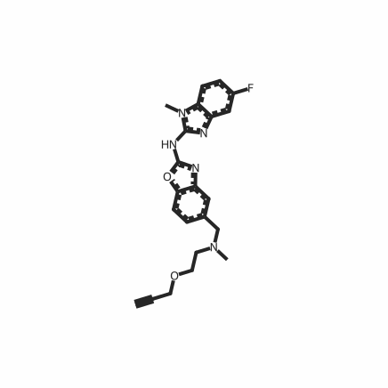 C#CCOCCN(C)Cc1ccc2oc(Nc3nc4cc(F)ccc4n3C)nc2c1